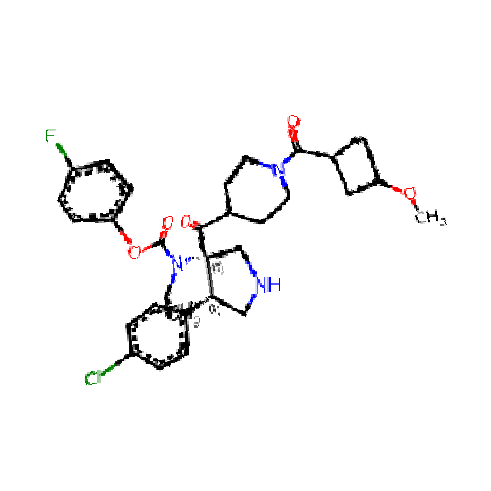 CCN(C(=O)Oc1ccc(F)cc1)[C@]1(C(=O)C2CCN(C(=O)C3CC(OC)C3)CC2)CNC[C@H]1c1ccc(Cl)cc1